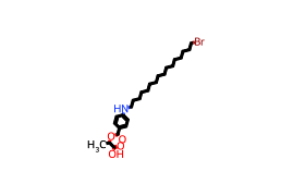 CC(OC(=O)c1ccc(NCCCCCCCCCCCCCCCCBr)cc1)C(=O)O